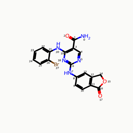 NC(=O)c1cnc(Nc2ccc3c(c2)COC3=O)nc1Nc1ccccc1Br